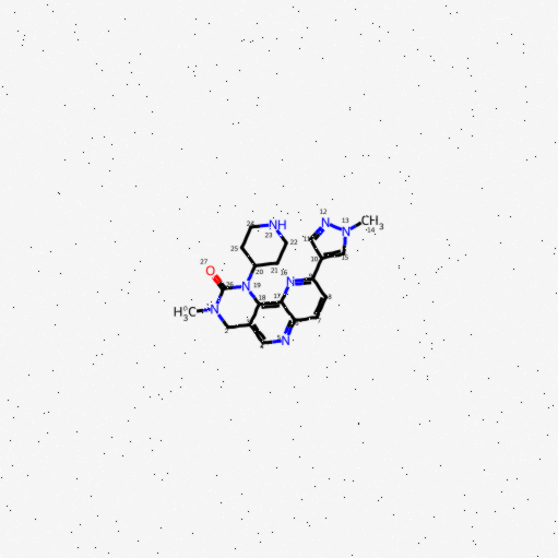 CN1Cc2cnc3ccc(-c4cnn(C)c4)nc3c2N(C2CCNCC2)C1=O